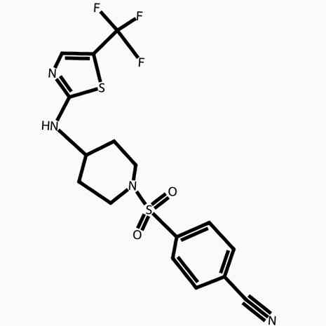 N#Cc1ccc(S(=O)(=O)N2CCC(Nc3ncc(C(F)(F)F)s3)CC2)cc1